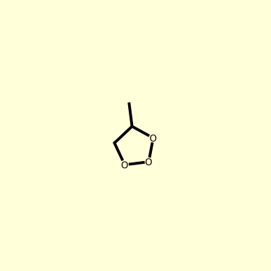 CC1COOO1